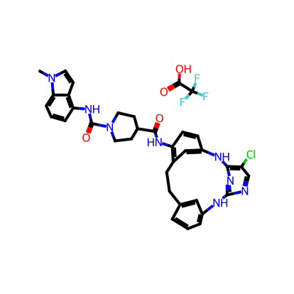 Cn1ccc2c(NC(=O)N3CCC(C(=O)Nc4ccc5cc4CCc4cccc(c4)Nc4ncc(Cl)c(n4)N5)CC3)cccc21.O=C(O)C(F)(F)F